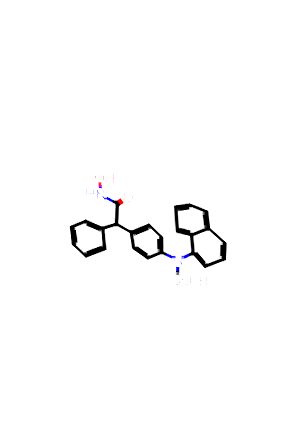 O=C(NO)C(c1ccccc1)c1ccc(N(c2cccc3ccccc23)S(=O)(=O)O)cc1